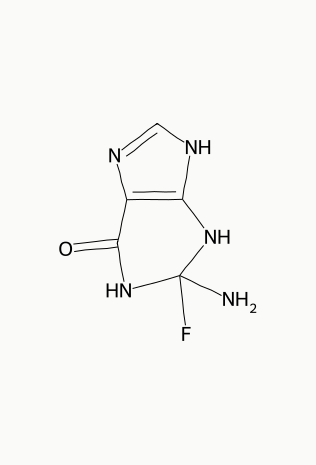 NC1(F)NC(=O)c2nc[nH]c2N1